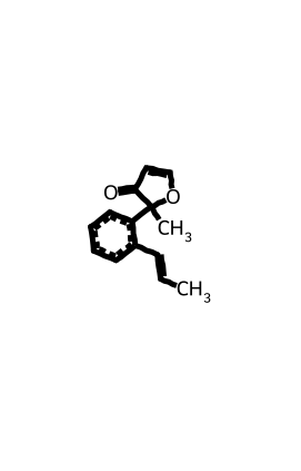 CC=Cc1ccccc1C1(C)OC=CC1=O